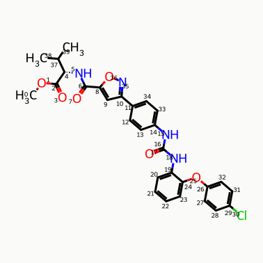 COC(=O)[C@@H](NC(=O)c1cc(-c2ccc(NC(=O)Nc3ccccc3Oc3ccc(Cl)cc3)cc2)no1)C(C)C